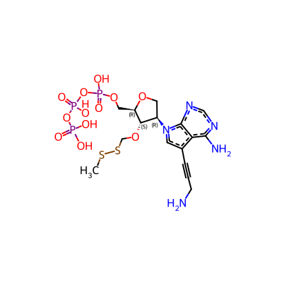 CSSCO[C@H]1[C@H](n2cc(C#CCN)c3c(N)ncnc32)CO[C@@H]1COP(=O)(O)OP(=O)(O)OP(=O)(O)O